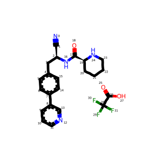 N#C[C@H](Cc1ccc(-c2cccnc2)cc1)NC(=O)[C@@H]1CCCCN1.O=C(O)C(F)(F)F